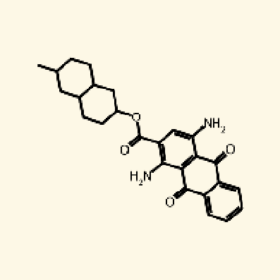 CC1CCC2CC(OC(=O)c3cc(N)c4c(c3N)C(=O)c3ccccc3C4=O)CCC2C1